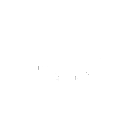 O=C(O)Nc1ccc(=S)[nH]n1